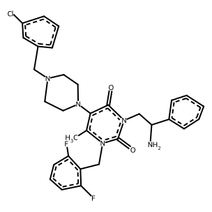 Cc1c(N2CCN(Cc3cccc(Cl)c3)CC2)c(=O)n(CC(N)c2ccccc2)c(=O)n1Cc1c(F)cccc1F